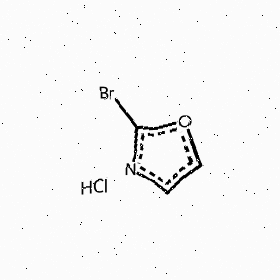 Brc1ncco1.Cl